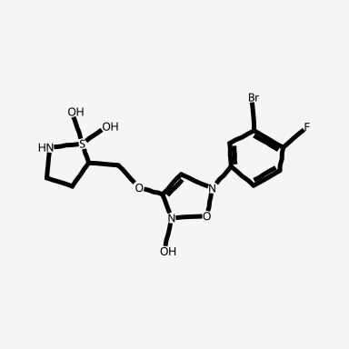 ON1ON(c2ccc(F)c(Br)c2)C=C1OCC1CCNS1(O)O